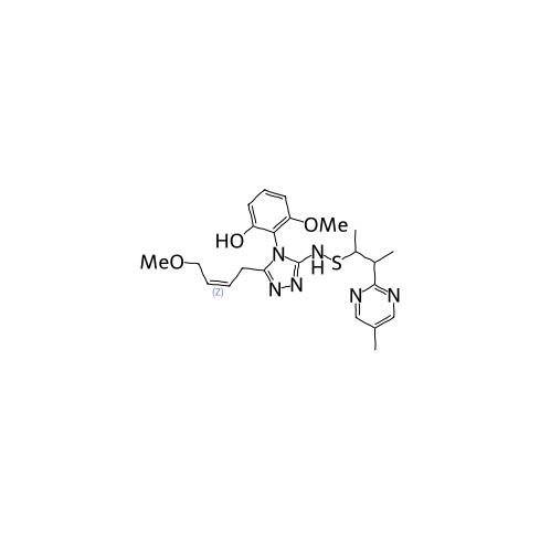 COC/C=C\Cc1nnc(NSC(C)C(C)c2ncc(C)cn2)n1-c1c(O)cccc1OC